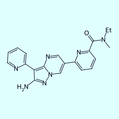 CCN(C)C(=O)c1cccc(-c2cnc3c(-c4ccccn4)c(N)nn3c2)n1